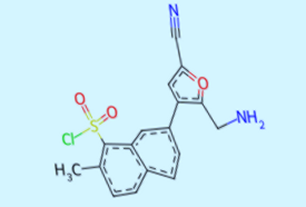 Cc1ccc2ccc(-c3cc(C#N)oc3CN)cc2c1S(=O)(=O)Cl